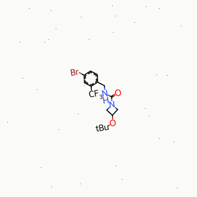 CC(C)(C)OC1CN(C(=O)NCc2ccc(Br)cc2C(F)(F)F)C1